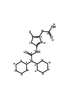 Cc1sc(NC(=O)N(C2CCCCC2)C2CCCCC2)nc1CC(=O)O